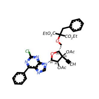 C#C[C@@]1(OC(C)=O)[C@@H](COC(Cc2ccccc2)(C(=O)OCC)C(=O)OCC)O[C@@H](n2cnc3c(-c4ccccc4)nc(Cl)nc32)[C@@H]1OC(C)=O